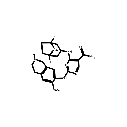 COc1cc2c(cc1Nc1ncc(C(N)=O)c(NC3C[C@H]4CC[C@@H](C3)N4C)n1)CN(C)CC2